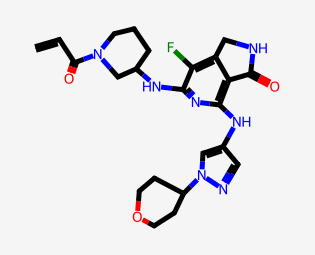 C=CC(=O)N1CCCC(Nc2nc(Nc3cnn(C4CCOCC4)c3)c3c(c2F)CNC3=O)C1